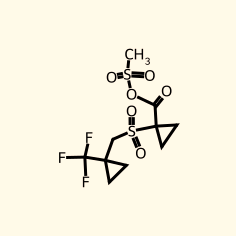 CS(=O)(=O)OC(=O)C1(S(=O)(=O)CC2(C(F)(F)F)CC2)CC1